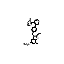 Cc1cc(C(=O)O)cc2c1nc(C(C)C)n2Cc1ccc(-c2cnccc2-c2nnn[nH]2)cc1